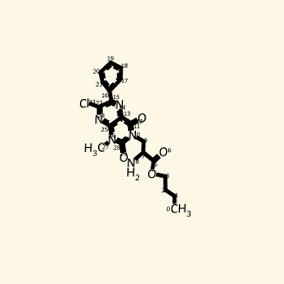 CCCCOC(=O)C(N)Cn1c(=O)c2nc(-c3ccccc3)c(Cl)nc2n(C)c1=O